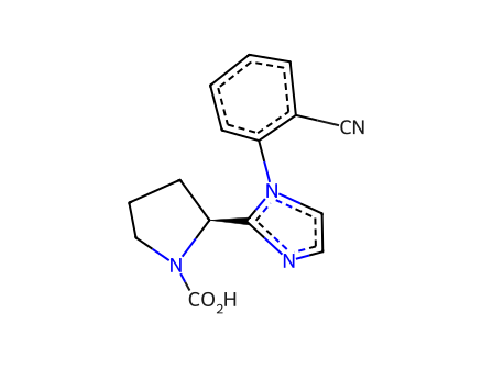 N#Cc1ccccc1-n1ccnc1[C@@H]1CCCN1C(=O)O